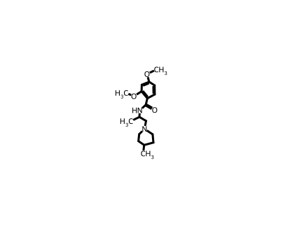 COc1ccc(C(=O)NC(C)CN2CCC(C)CC2)c(OC)c1